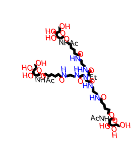 CCC(C(=O)NCCCNC(=O)CCCCCOC1OC(CO)C(O)C(O)C1NC(C)=O)N(CC(=O)NCCCNC(=O)CCCCCOC1OC(CO)C(O)C(O)C1NC(C)=O)CC(=O)NCCCNC(=O)CCCCCOC1OC(CO)C(O)C(O)C1NC(C)=O